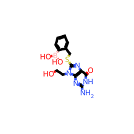 Nc1nc2c(nc(SCc3ccccc3B(O)O)n2CCO)c(=O)[nH]1